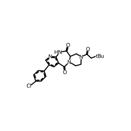 CC(C)(C)CC(=O)N1CCN2C(=O)c3cc(-c4ccc(Cl)cc4)cnc3NC(=O)C2C1